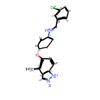 Cc1c(O[C@H]2CC[C@H](NCc3cccc(Cl)c3)CC2)ccc2[nH]ncc12